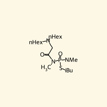 CCCCCCN(CCCCCC)CC(=O)N(C)P(=O)(NC)SC(C)CC